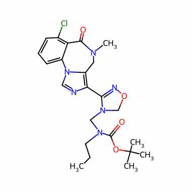 CCCN(CN1CON=C1c1ncn2c1CN(C)C(=O)c1c(Cl)cccc1-2)C(=O)OC(C)(C)C